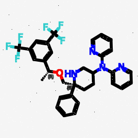 C[C@@H](OC[C@@]1(c2ccccc2)CCC(N(c2ccccn2)c2ccccn2)CN1)c1cc(C(F)(F)F)cc(C(F)(F)F)c1